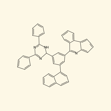 c1ccc(C2=NC(c3cc(-c4cccc5ccccc45)cc(-c4nc5ccccc5c5ccccc45)c3)NC(c3ccccc3)=N2)cc1